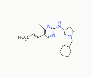 Cc1nc(NC2CCN(CC3CCCCC3)C2)ncc1/C=C/C(=O)O